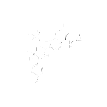 CCC(NC(=O)C(CCS(C)(=O)=O)NC(c1ccc(F)cc1)C(F)(F)F)C(=O)C(=O)NC1CC1